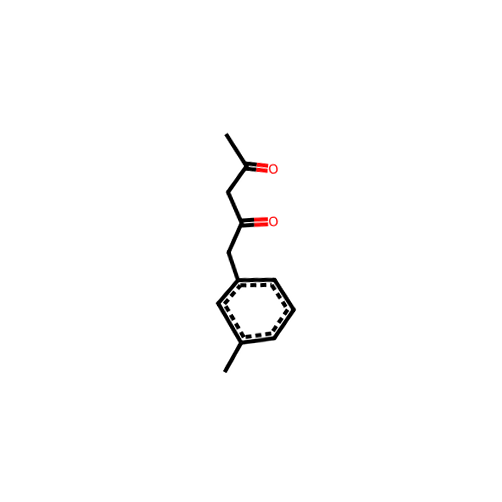 CC(=O)CC(=O)Cc1cccc(C)c1